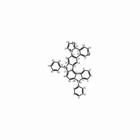 c1ccc(-n2c3ccccc3c3c4c5cc6c7cnccc7c7nccn7c6cc5n(-c5ccccc5)c4ccc32)cc1